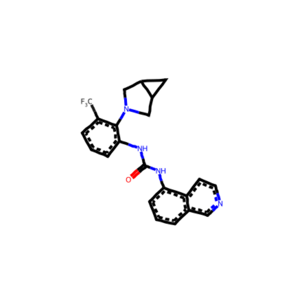 O=C(Nc1cccc(C(F)(F)F)c1N1CC2CC2C1)Nc1cccc2cnccc12